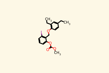 CCc1ccc(OCc2c(I)cccc2OC(=O)OC)c(CC)c1